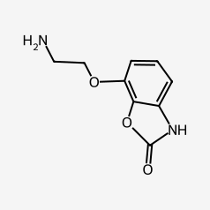 NCCOc1cccc2[nH]c(=O)oc12